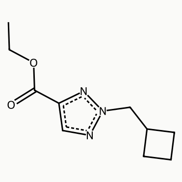 CCOC(=O)c1cnn(CC2CCC2)n1